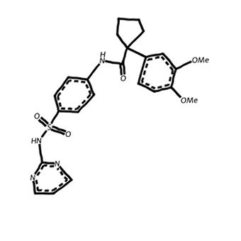 COc1ccc(C2(C(=O)Nc3ccc(S(=O)(=O)Nc4ncccn4)cc3)CCCC2)cc1OC